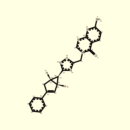 Nc1ccc2c(=O)n(Cc3nc([C@H]4[C@@H]5C=C(c6ccccc6)C[C@@H]54)no3)cnc2n1